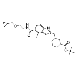 Cc1c(C(=O)NCCOCC2CC2)ccc2nn(CC3CCCC(C(=O)OC(C)(C)C)C3)cc12